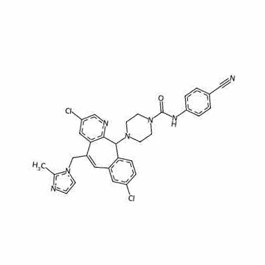 Cc1nccn1CC1=Cc2cc(Cl)ccc2C(N2CCN(C(=O)Nc3ccc(C#N)cc3)CC2)c2ncc(Cl)cc21